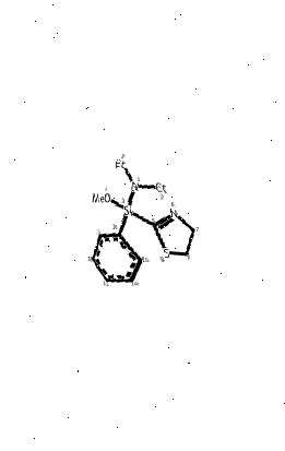 CCN(CC)[Si](OC)(C1=NCCS1)c1ccccc1